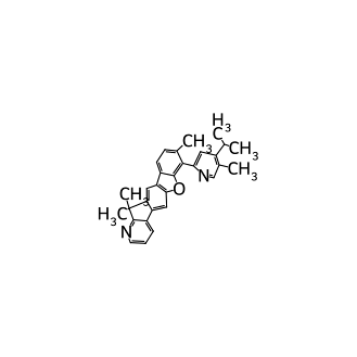 Cc1cnc(-c2c(C)ccc3c2oc2cc4c(cc23)C(C)(C)c2ncccc2-4)cc1C(C)C